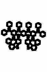 c1ccc(N(c2ccccc2)c2cc3c4c(c2)N(c2ccccc2)c2c(ccc5sc6ccccc6c25)B4c2cc4c(cc2N3c2ccccc2)N(c2ccccc2)c2cc(N(c3ccccc3)c3ccccc3)cc3c2B4c2ccc4sc5ccccc5c4c2N3c2ccccc2)cc1